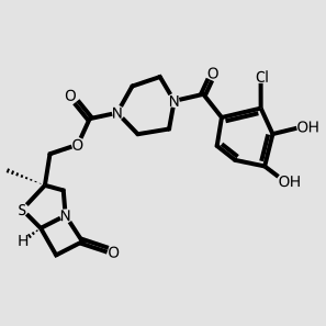 C[C@]1(COC(=O)N2CCN(C(=O)c3ccc(O)c(O)c3Cl)CC2)CN2C(=O)C[C@H]2S1